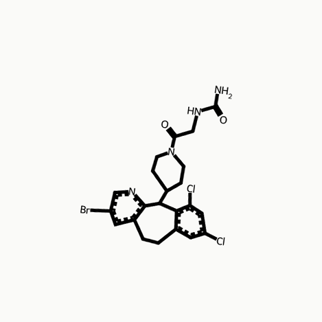 NC(=O)NCC(=O)N1CCC(C2c3ncc(Br)cc3CCc3cc(Cl)cc(Cl)c32)CC1